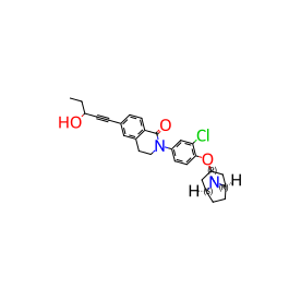 CCC(O)C#Cc1ccc2c(c1)CCN(c1ccc(O[C@H]3C[C@H]4CC[C@@H](C3)N4C)c(Cl)c1)C2=O